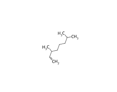 C=CC(C)CCC[C](C)C